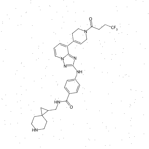 O=C(NCC1CC12CCNCC2)c1ccc(Nc2nc3c(C4=CCN(C(=O)CCC(F)(F)F)CC4)cccn3n2)cc1